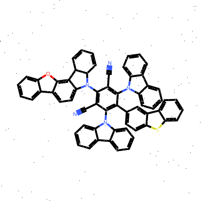 N#Cc1c(N2c3ccc4c(oc5ccccc54)c3C3C=CC=CC32)c(C#N)c(-n2c3ccccc3c3ccccc32)c(-c2ccc3sc4ccccc4c3c2)c1-n1c2ccccc2c2ccccc21